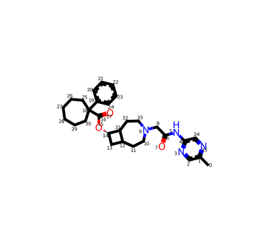 Cc1cnc(NC(=O)CN2CCC3C[C@H](OC(=O)C4(c5ccccc5)CCCCCC4)C3CC2)cn1